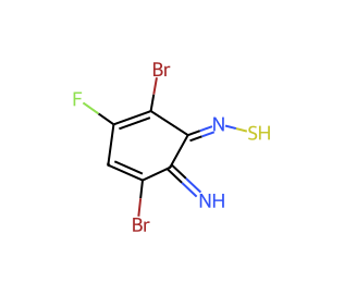 N=C1C(Br)=CC(F)=C(Br)/C1=N/S